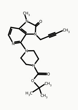 CC#CCn1c(=O)n(C)c2ccnc(N3CCN(C(=O)OC(C)(C)C)CC3)c21